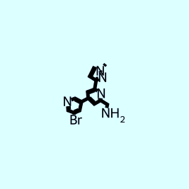 Cn1ccc(-c2cc(-c3cncc(Br)c3)cc(CN)n2)n1